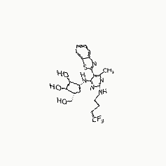 Cc1nc(NCCCC(F)(F)F)nc(N[C@@H]2C[C@H](CO)[C@@H](O)[C@H]2O)c1-c1nc2ccccc2s1